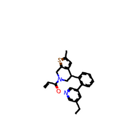 C=CC(=O)N1Cc2sc(C)cc2C(c2ccccc2-c2cncc(CC)c2)C1